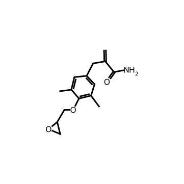 C=C(Cc1cc(C)c(OCC2CO2)c(C)c1)C(N)=O